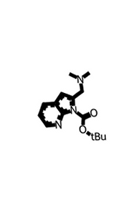 CN(C)Cc1cc2cccnc2n1C(=O)OC(C)(C)C